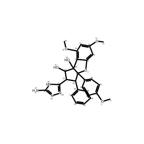 COc1ccc(C23Oc4cc(OC)cc(OC)c4C2(O)C(O)C(c2nnc(N)[nH]2)C3c2ccccc2)cc1